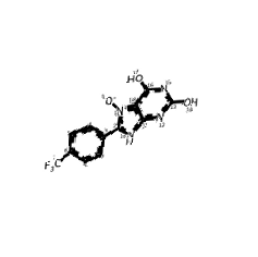 [O-][n+]1c(-c2ccc(C(F)(F)F)cc2)[nH]c2nc(O)nc(O)c21